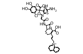 Nc1nc(C(ON=CC(=O)NC2C(=O)N3C(C(=O)O)=C(C=CC[n+]4cccc5ccccc54)CSC23)(C(=O)O)c2cc(O)c(O)cc2Cl)cs1